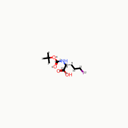 CC(C)(C)OC(=O)N[C@H](CCCI)C(=O)O